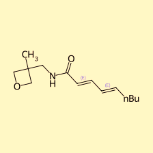 CCCC/C=C/C=C/C(=O)NCC1(C)COC1